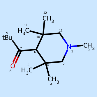 CN1CC(C)(C)C(C(=O)C(C)(C)C)C(C)(C)C1